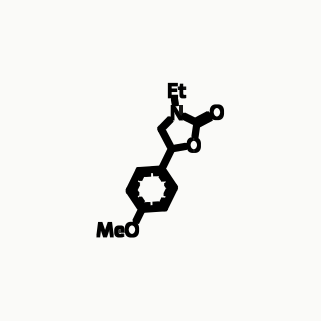 CCN1CC(c2ccc(OC)cc2)OC1=O